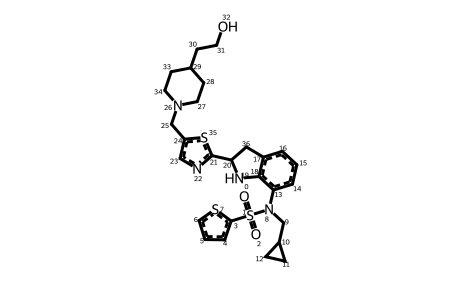 O=S(=O)(c1cccs1)N(CC1CC1)c1cccc2c1NC(c1ncc(CN3CCC(CCO)CC3)s1)C2